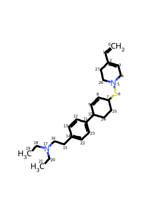 C=CC1=CCN(SC2C=CC(c3ccc(CCN(CC)CC)cc3)CC2)CC1